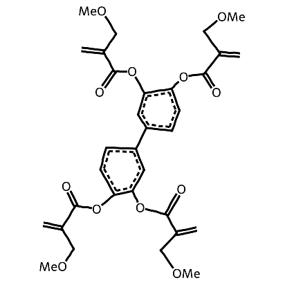 C=C(COC)C(=O)Oc1ccc(-c2ccc(OC(=O)C(=C)COC)c(OC(=O)C(=C)COC)c2)cc1OC(=O)C(=C)COC